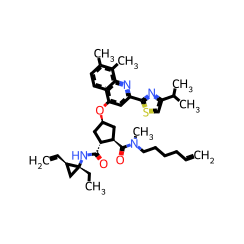 C=CCCCCN(C)C(=O)[C@@H]1C[C@H](Oc2cc(-c3nc(C(C)C)cs3)nc3c(C)c(C)ccc23)C[C@H]1C(=O)N[C@]1(CC)C[C@H]1C=C